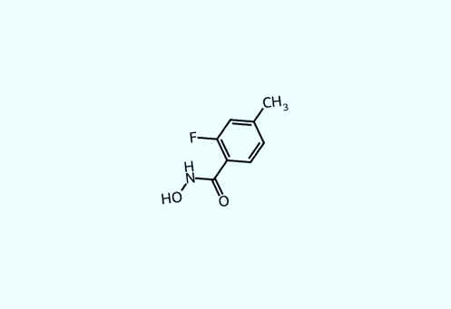 Cc1ccc(C(=O)NO)c(F)c1